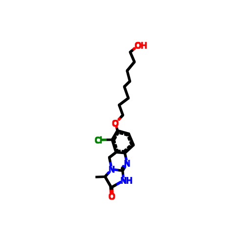 CC1C(=O)NC2=Nc3ccc(OCCCCCCCCO)c(Cl)c3CN21